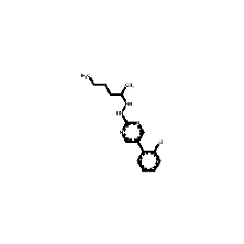 CCCCC(C)NNc1ncc(-c2ccccc2Cl)cn1